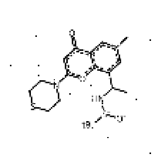 Cc1cc(C(C)N[S+]([O-])C(C)(C)C)c2oc(N3CCSCC3)cc(=O)c2c1